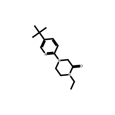 CCN1CCN(c2ccc(C(C)(C)C)cn2)CC1=O